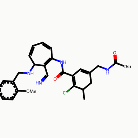 COc1ccccc1CNC1C=CC=CC(NC(=O)C2=C(Cl)C(C)CC(CNC(=O)C(C)(C)C)=C2)=C1C=N